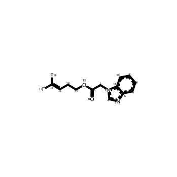 O=C(Cn1cnc2ccccc21)OCCC=C(F)F